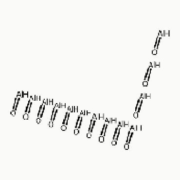 [O]=[AlH].[O]=[AlH].[O]=[AlH].[O]=[AlH].[O]=[AlH].[O]=[AlH].[O]=[AlH].[O]=[AlH].[O]=[AlH].[O]=[AlH].[O]=[AlH].[O]=[AlH].[O]=[AlH]